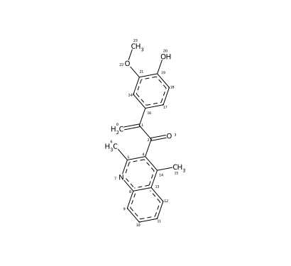 C=C(C(=O)c1c(C)nc2ccccc2c1C)c1ccc(O)c(OC)c1